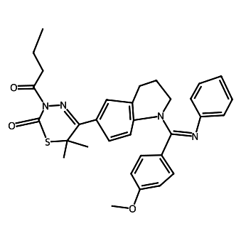 CCCC(=O)N1N=C(c2ccc3c(c2)CCCN3/C(=N\c2ccccc2)c2ccc(OC)cc2)C(C)(C)SC1=O